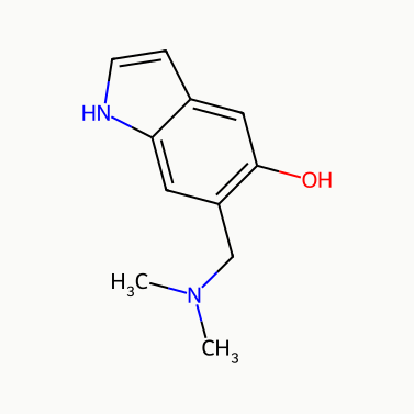 CN(C)Cc1cc2[nH]ccc2cc1O